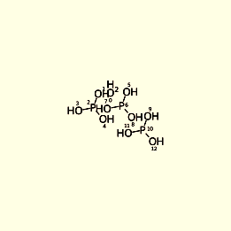 O.OP(O)O.OP(O)O.OP(O)O